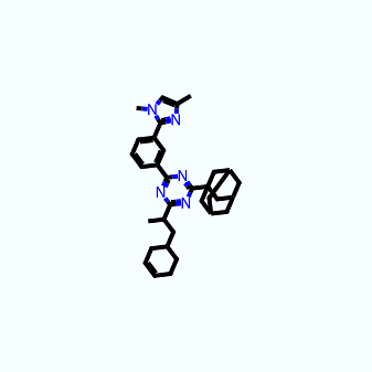 Cc1cn(C)c(-c2cccc(-c3nc(C(C)CC4CC=CCC4)nc(C45CC6CC(CC(C6)C4)C5)n3)c2)n1